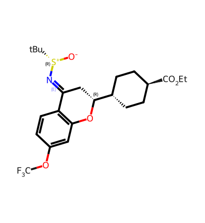 CCOC(=O)[C@H]1CC[C@H]([C@H]2C/C(=N\[S@@+]([O-])C(C)(C)C)c3ccc(OC(F)(F)F)cc3O2)CC1